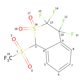 O=S(=O)(C1c2ccccc2C(F)(F)C(F)(F)S1(=O)=O)C(F)(F)F